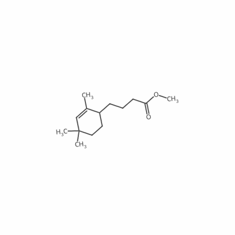 COC(=O)CCCC1CCC(C)(C)C=C1C